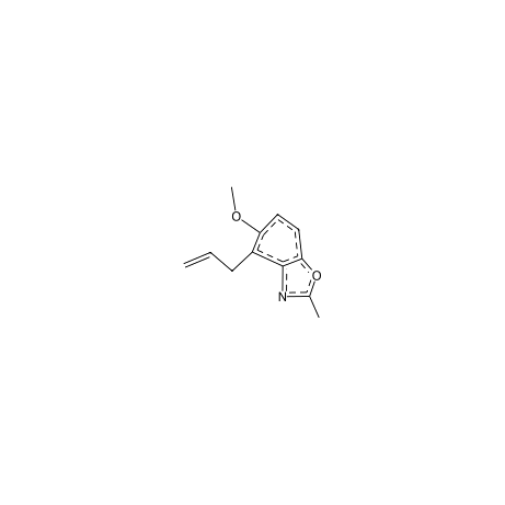 C=CCc1c(OC)ccc2oc(C)nc12